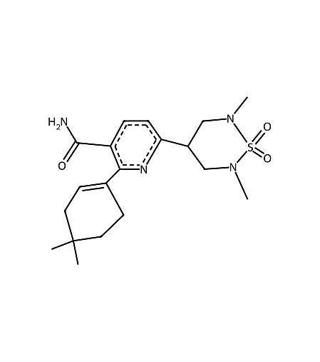 CN1CC(c2ccc(C(N)=O)c(C3=CCC(C)(C)CC3)n2)CN(C)S1(=O)=O